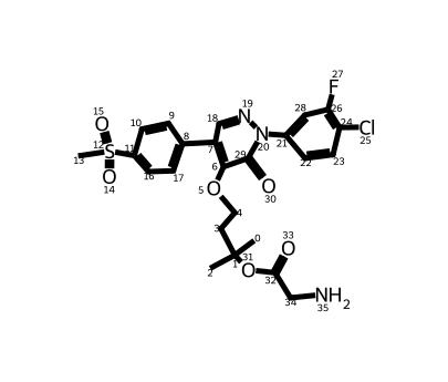 CC(C)(CCOc1c(-c2ccc(S(C)(=O)=O)cc2)cnn(-c2ccc(Cl)c(F)c2)c1=O)OC(=O)CN